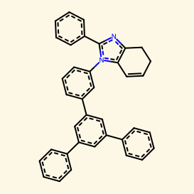 C1=Cc2c(nc(-c3ccccc3)n2-c2cccc(-c3cc(-c4ccccc4)cc(-c4ccccc4)c3)c2)CC1